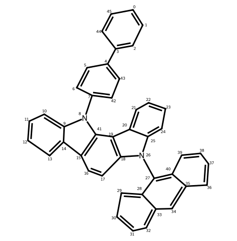 c1ccc(-c2ccc(-n3c4ccccc4c4ccc5c(c6ccccc6n5-c5c6ccccc6cc6ccccc56)c43)cc2)cc1